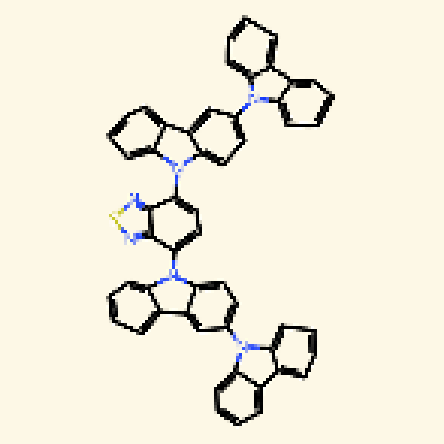 c1ccc2c(c1)c1ccccc1n2-c1ccc2c(c1)c1ccccc1n2-c1ccc(-n2c3ccccc3c3cc(-n4c5ccccc5c5ccccc54)ccc32)c2nsnc12